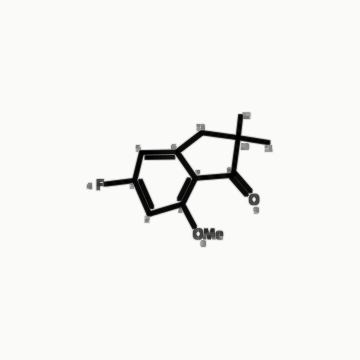 COc1cc(F)cc2c1C(=O)C(C)(C)C2